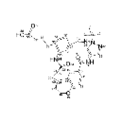 CC(C)(C)n1cc(NC(=O)c2ccc3c(c2)[C@]2(CCO3)C[C@H]2C(=O)Nc2cc(C#N)ccc2CCCC(=O)O)cn1